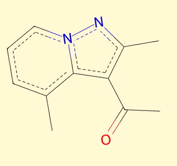 CC(=O)c1c(C)nn2cccc(C)c12